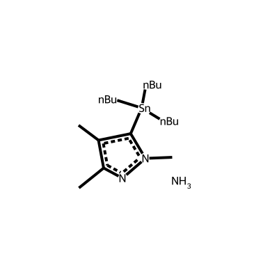 CCC[CH2][Sn]([CH2]CCC)([CH2]CCC)[c]1c(C)c(C)nn1C.N